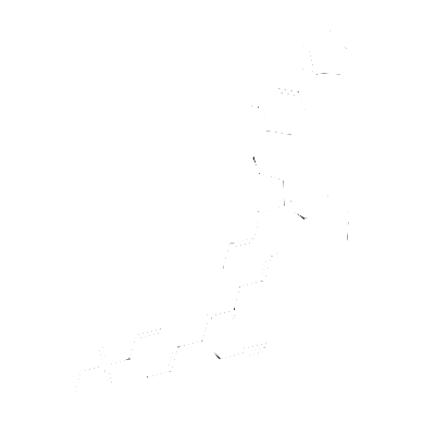 CCS(=O)(=O)c1ccc([C@H](CC#N)NC(=O)c2ccc(N3C[C@@H](Oc4ccc(-n5ccnc5)cc4)C[C@H]3COC(F)F)cc2)cc1